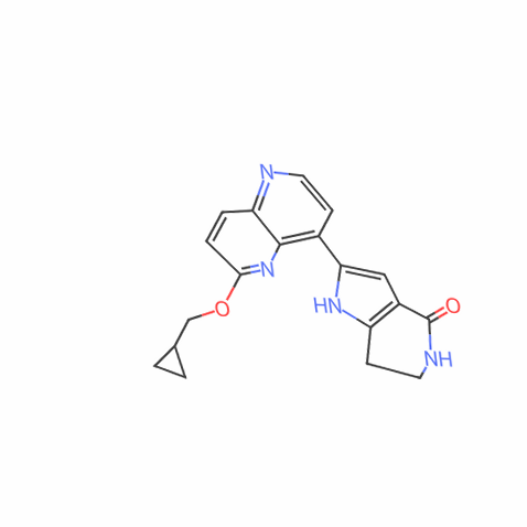 O=C1NCCc2[nH]c(-c3ccnc4ccc(OCC5CC5)nc34)cc21